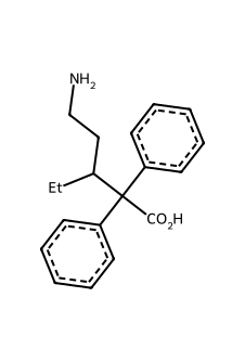 CCC(CCN)C(C(=O)O)(c1ccccc1)c1ccccc1